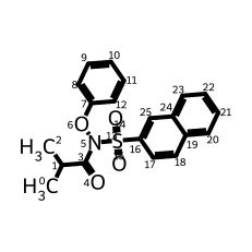 CC(C)C(=O)N(Oc1ccccc1)S(=O)(=O)c1ccc2ccccc2c1